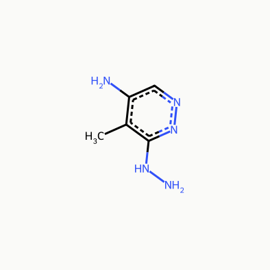 Cc1c(N)cnnc1NN